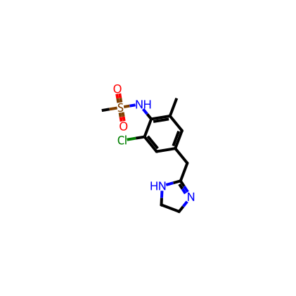 Cc1cc(CC2=NCCN2)cc(Cl)c1NS(C)(=O)=O